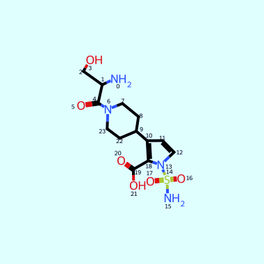 NC(CO)C(=O)N1CCC(c2ccn(S(N)(=O)=O)c2C(=O)O)CC1